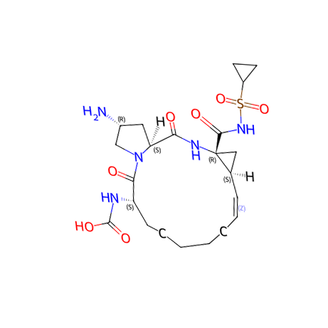 N[C@@H]1C[C@H]2C(=O)N[C@]3(C(=O)NS(=O)(=O)C4CC4)C[C@H]3/C=C\CCCCC[C@H](NC(=O)O)C(=O)N2C1